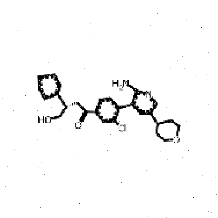 Nc1ncc(C2CCOCC2)cc1-c1ccc(C(=O)C[C@H](CO)c2ccccc2)cc1Cl